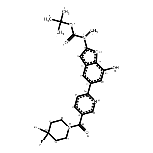 CN(C(=O)OC(C)(C)C)c1cc2cc(-c3ccc(C(=O)N4CCC(F)(F)CC4)cn3)cc(O)c2o1